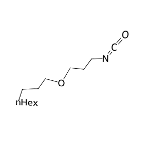 CCCCCCCCCOCCCN=C=O